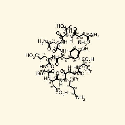 CC[C@H](C)[C@H](NC(=O)[C@H](CCC(=O)O)NC(=O)[C@H](Cc1ccc(O)cc1)NC(=O)[C@H](CC(N)=O)NC(=O)[C@@H](NC(=O)[C@@H](N)CC(N)=O)[C@@H](C)O)C(=O)N[C@@H](CCC(=O)O)C(=O)N[C@@H](CCCCN)C(=O)N[C@H](C(=O)N[C@@H](CC(C)C)C(=O)O)C(C)C